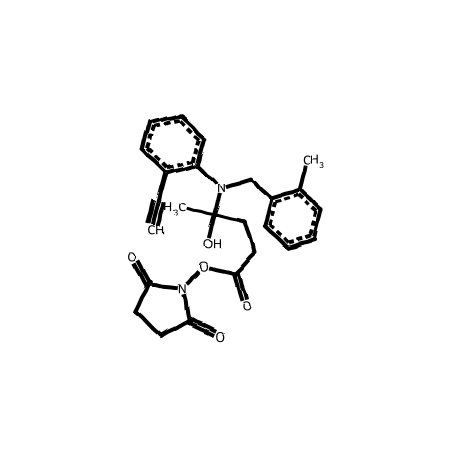 C#Cc1ccccc1N(Cc1ccccc1C)C(C)(O)CCC(=O)ON1C(=O)CCC1=O